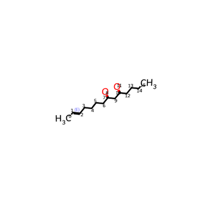 C/C=C/CCCCC(=O)CC(=O)CCCC